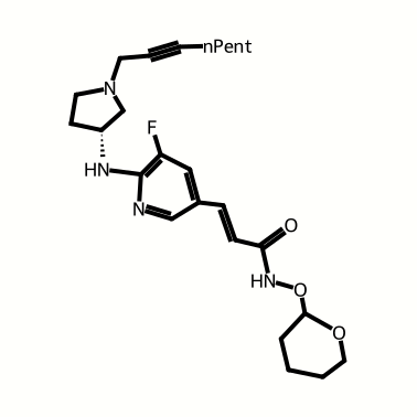 CCCCCC#CCN1CC[C@@H](Nc2ncc(C=CC(=O)NOC3CCCCO3)cc2F)C1